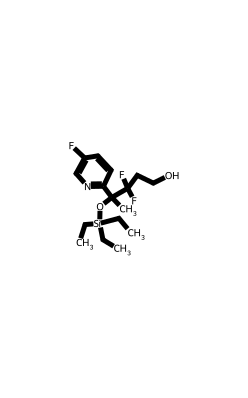 CC[Si](CC)(CC)OC(C)(c1ccc(F)cn1)C(F)(F)CCO